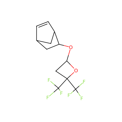 FC(F)(F)C1(C(F)(F)F)CC(OC2CC3C=CC2C3)O1